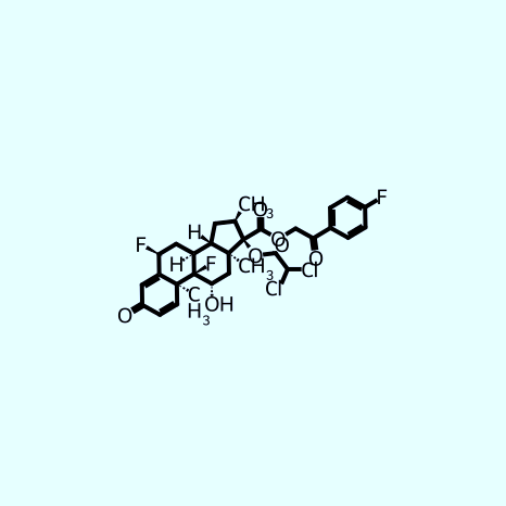 C[C@@H]1C[C@H]2[C@@H]3C[C@H](F)C4=CC(=O)C=C[C@]4(C)[C@@]3(F)[C@@H](O)C[C@]2(C)[C@@]1(OC(=O)C(Cl)Cl)C(=O)OCC(=O)c1ccc(F)cc1